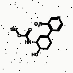 CC(C)(C)OC(=O)N[C@@H]1C=C(c2ccncc2[N+](=O)[O-])CC[C@H]1O